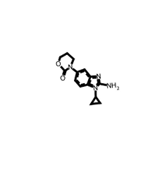 Nc1nc2cc(N3CCCOC3=O)ccc2n1C1CC1